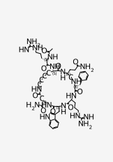 CC(=O)N[C@@H](CCCNC(=N)N)C(=O)N[C@H]1CCCCNC(=O)C[C@@H](C(N)=O)NC(=O)[C@H](Cc2c[nH]c3ccccc23)NC(=O)C(CCCNC(=N)N)NC(=O)[C@@H](Cc2ccccc2)NC[C@H](CCC(N)=O)NC1=O